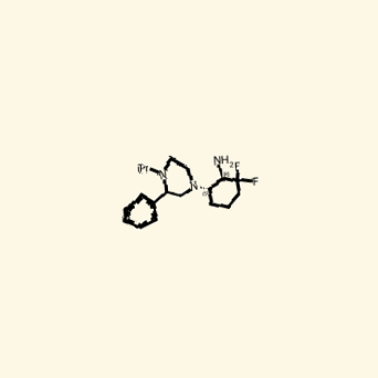 CC(C)N1CCN([C@H]2CCCC(F)(F)[C@@H]2N)CC1c1ccccc1